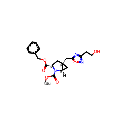 CC(C)(C)OC(=O)N1[C@H](C(=O)OCc2ccccc2)C[C@@]2(Cc3nc(CCO)no3)C[C@@H]12